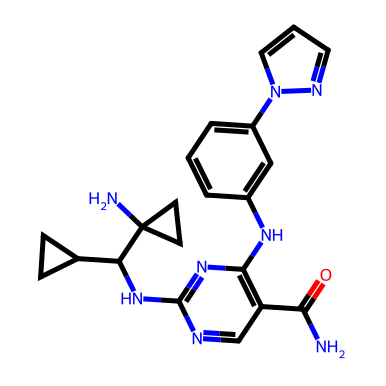 NC(=O)c1cnc(NC(C2CC2)C2(N)CC2)nc1Nc1cccc(-n2cccn2)c1